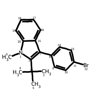 Cn1c(C(C)(C)C)c(-c2ccc(Br)cc2)c2ccccc21